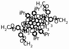 C=CC(=O)OC1CCCC(N(C(=O)C(CC(F)(F)F)N2C(=O)c3cc(Oc4ccc(C(C)C)cc4C)c4c5c(Oc6ccc(C(C)C)cc6C)cc6c7c(cc(Oc8ccc(C(C)C)cc8C)c(c8c(Oc9ccc(C(C)C)cc9C)cc(c3c48)C2=O)c75)C(=O)N(C(CC(F)(F)F)C(=O)N(C2CCCC(OC(=O)C=C)C2)C2CCCC(OC(=O)C=C)C2)C6=O)C2CCCC(OC(=O)C=C)C2)C1